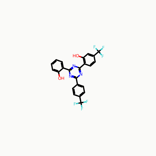 Oc1ccccc1-c1nc(-c2ccc(C(F)(F)F)cc2)nc(-c2ccc(C(F)(F)F)cc2O)n1